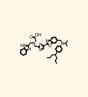 CCCC(CCC)c1ccc(N(Cc2ccc3nc(-c4csc(CN(CC(=O)O)Cc5nc6ccccc6[nH]5)n4)oc3c2)C(C)C)cc1